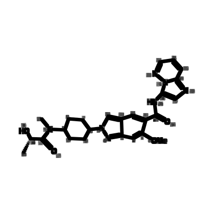 COc1cc2nn(C3CCC(N(C)C(=O)[C@H](C)O)CC3)cc2cc1C(=O)Nc1cnc2cccnn12